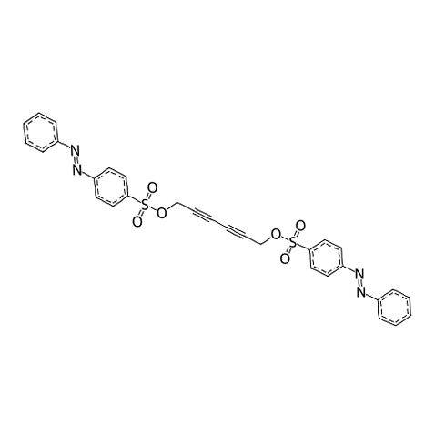 O=S(=O)(OCC#CC#CCOS(=O)(=O)c1ccc(N=Nc2ccccc2)cc1)c1ccc(N=Nc2ccccc2)cc1